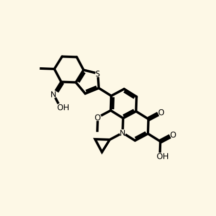 COc1c(-c2cc3c(s2)CCC(C)/C3=N/O)ccc2c(=O)c(C(=O)O)cn(C3CC3)c12